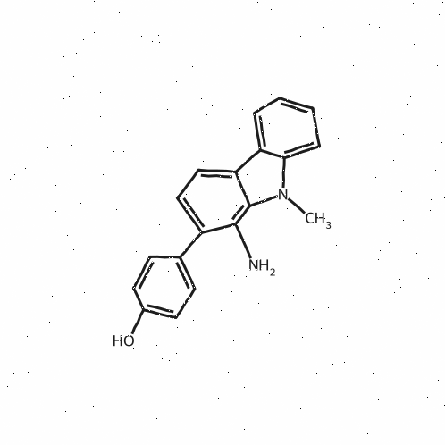 Cn1c2ccccc2c2ccc(-c3ccc(O)cc3)c(N)c21